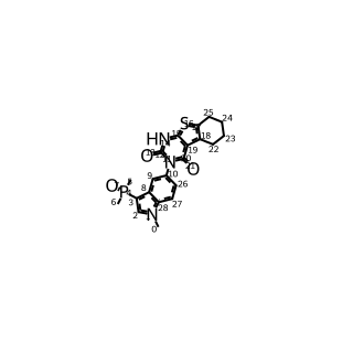 Cn1cc(P(C)(C)=O)c2cc(-n3c(=O)[nH]c4sc5c(c4c3=O)CCCC5)ccc21